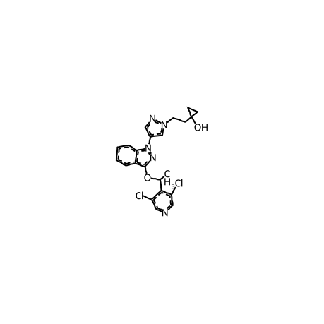 CC(Oc1nn(-c2cnn(CCC3(O)CC3)c2)c2ccccc12)c1c(Cl)cncc1Cl